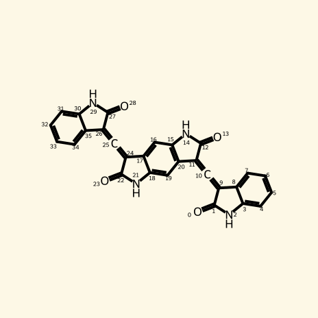 O=C1Nc2ccccc2C1=C=C1C(=O)Nc2cc3c(cc21)NC(=O)C3=C=C1C(=O)Nc2ccccc21